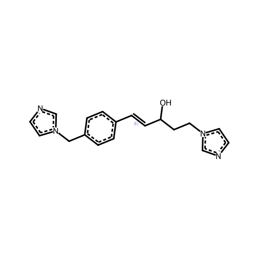 OC(/C=C/c1ccc(Cn2ccnc2)cc1)CCn1ccnc1